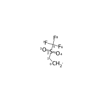 [CH2]CS(=O)(=O)C(F)(F)F